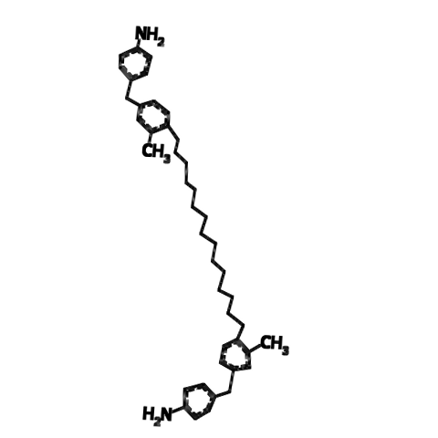 Cc1cc(Cc2ccc(N)cc2)ccc1CCCCCCCCCCCCCCCc1ccc(Cc2ccc(N)cc2)cc1C